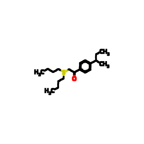 CCCC[S+](CCCC)CC(=O)c1ccc(C(C)CC)cc1